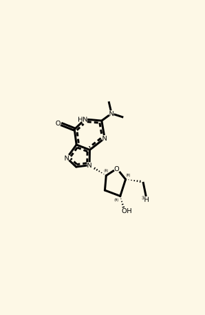 [3H]C[C@H]1O[C@@H](n2cnc3c(=O)[nH]c(N(C)C)nc32)C[C@H]1O